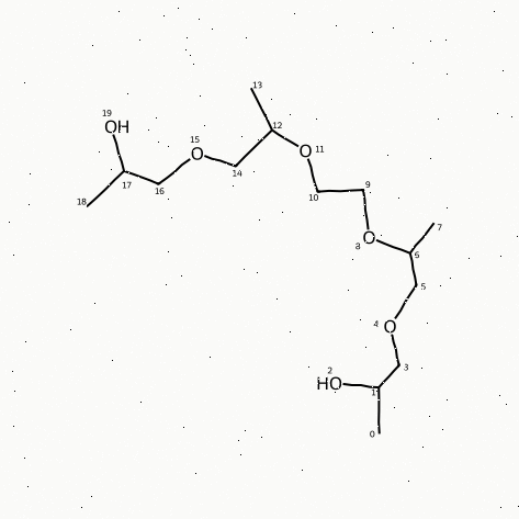 CC(O)COCC(C)OCCOC(C)COCC(C)O